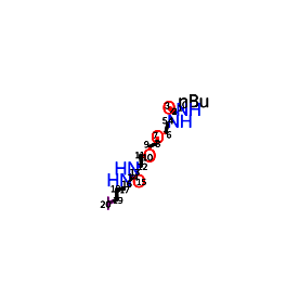 CCCCNC(=O)NCCOCCOCCNC(=O)NCCCI